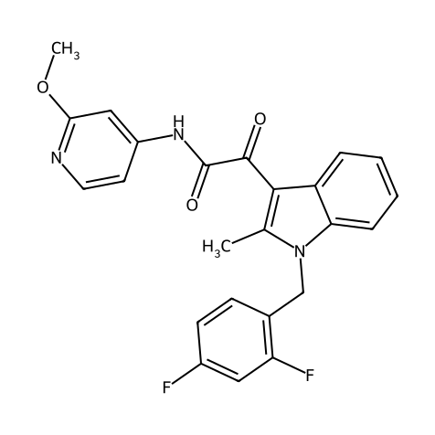 COc1cc(NC(=O)C(=O)c2c(C)n(Cc3ccc(F)cc3F)c3ccccc23)ccn1